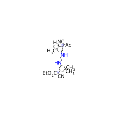 CCOC(=O)/C(C#N)=C1\C=C(NCCNC2=C/C(=C(/C#N)C(C)=O)CC(C)(C)C2)CC(C)(C)C1